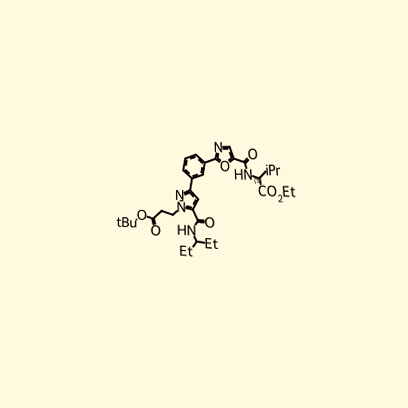 CCOC(=O)[C@@H](NC(=O)c1cnc(-c2cccc(-c3cc(C(=O)NC(CC)CC)n(CCC(=O)OC(C)(C)C)n3)c2)o1)C(C)C